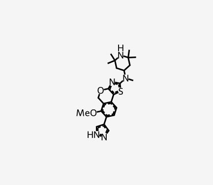 COc1c(-c2cn[nH]c2)ccc2c1COc1nc(N(C)C3CC(C)(C)NC(C)(C)C3)sc1-2